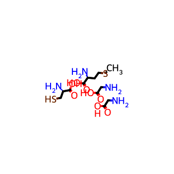 CSCC[C@H](N)C(=O)O.NCC(=O)O.NCC(=O)O.N[C@@H](CS)C(=O)O